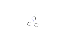 Brc1ccc(C(c2ccccc2)c2ccccc2)nc1